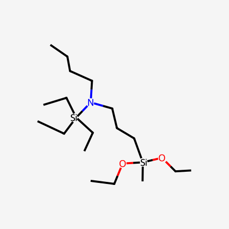 CCCCN(CCC[Si](C)(OCC)OCC)[Si](CC)(CC)CC